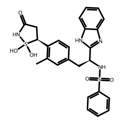 Cc1cc(C[C@H](NS(=O)(=O)c2ccccc2)c2nc3ccccc3[nH]2)ccc1[C@@H]1CC(=O)NS1(O)O